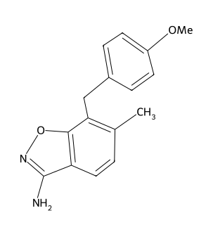 COc1ccc(Cc2c(C)ccc3c(N)noc23)cc1